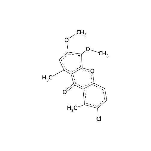 COc1cc(C)c2c(=O)c3c(C)c(Cl)ccc3oc2c1OC